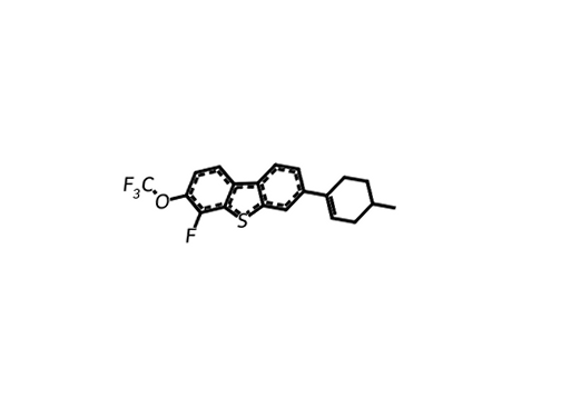 CC1CC=C(c2ccc3c(c2)sc2c(F)c(OC(F)(F)F)ccc23)CC1